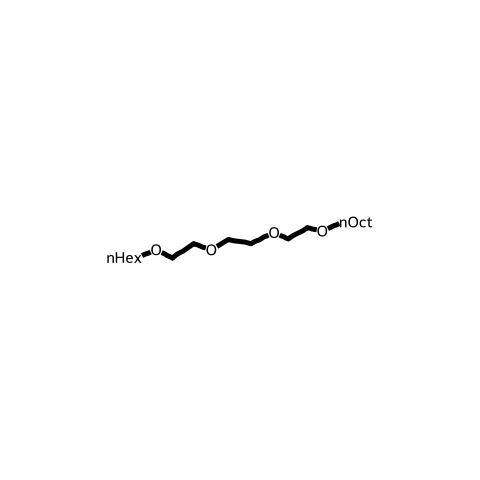 CCCCCCCCOCCOCCOCCOCCCCCC